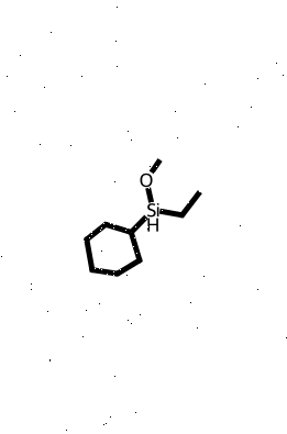 CC[SiH](OC)C1CCCCC1